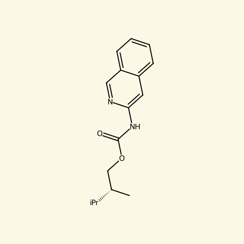 CC(C)[C@@H](C)COC(=O)Nc1cc2ccccc2cn1